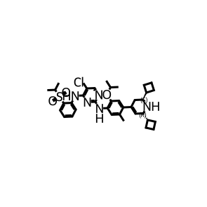 Cc1cc(Nc2ncc(Cl)c(Nc3ccccc3S(=O)(=O)C(C)C)n2)c(OC(C)C)cc1C1=C[C@@H](C2CCC2)N[C@H](C2CCC2)C1